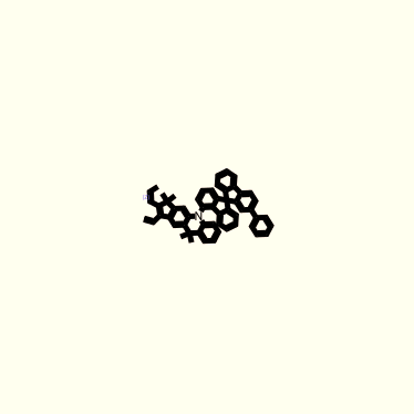 C=CC1=C(/C=C\C)C(C)(C)c2cc3c(cc21)C(C)(C)c1ccccc1N3c1cccc2c1-c1ccccc1C21c2ccccc2-c2ccc(-c3ccccc3)cc21